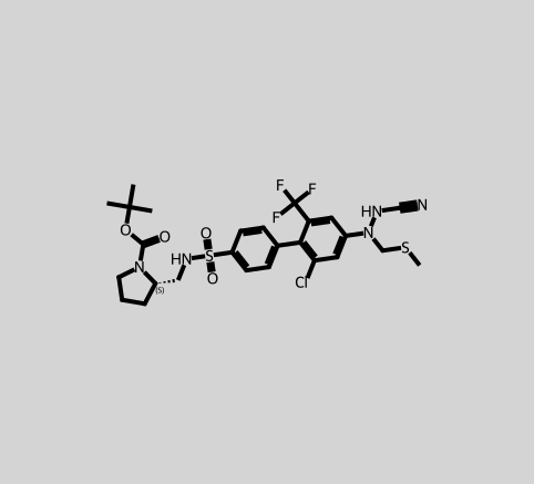 CSCN(NC#N)c1cc(Cl)c(-c2ccc(S(=O)(=O)NC[C@@H]3CCCN3C(=O)OC(C)(C)C)cc2)c(C(F)(F)F)c1